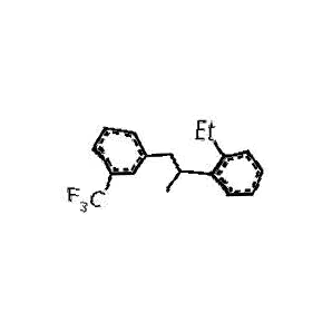 CCc1ccccc1C(C)Cc1cccc(C(F)(F)F)c1